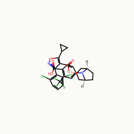 O=C(O)c1ccc(N2[C@@H]3CC[C@H]2C[C@H](OC(=O)c2c(-c4c(Cl)cccc4Cl)noc2C2CC2)C3)cc1C(F)(F)F